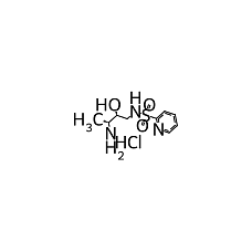 C[C@H](N)[C@@H](O)CNS(=O)(=O)c1ccccn1.Cl